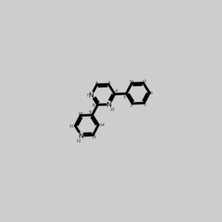 c1ccc(-c2ccnc(-c3ccncc3)n2)cc1